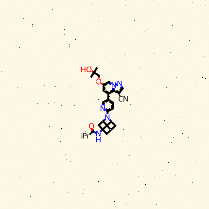 CC(C)C(=O)NC12CC3CC4N(c5ccc(-c6cc(OCC(C)(C)O)cn7ncc(C#N)c67)cn5)C(C1)C342